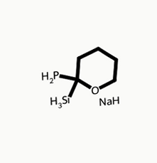 [NaH].[SiH3]C1(P)CCCCO1